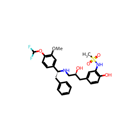 COc1cc([C@@H](Cc2ccccc2)NC[C@@H](O)Cc2ccc(O)c(NS(C)(=O)=O)c2)ccc1OC(F)F